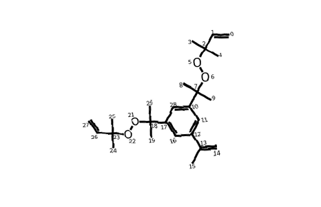 C=CC(C)(C)OOC(C)(C)c1cc(C(=C)C)cc(C(C)(C)OOC(C)(C)C=C)c1